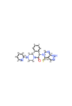 O=C(C(c1ccccc1)n1cnc2[nH]ncc2c1=S)N1CCN(c2ccccn2)CC1